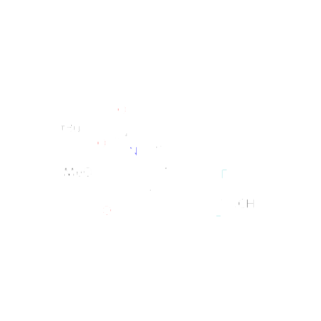 COC(=O)C1CC(CCC(C)(F)F)CN1C(=O)OC(C)(C)C